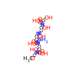 COc1ccc(N=Nc2c(S(=O)(=O)O)cc3ccc(N=Nc4c(S(=O)(=O)O)cc5ccc(N=Nc6ccc7c(O)c(N=Nc8ccc(CO)cc8S(=O)(=O)O)ccc7c6)c(O)c5c4N)cc3c2O)cc1